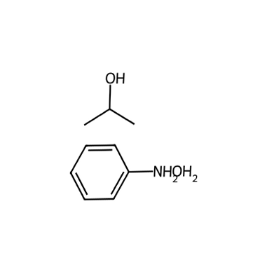 CC(C)O.Nc1ccccc1.O